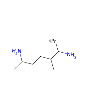 CCCC(N)C(C)CCC(C)N